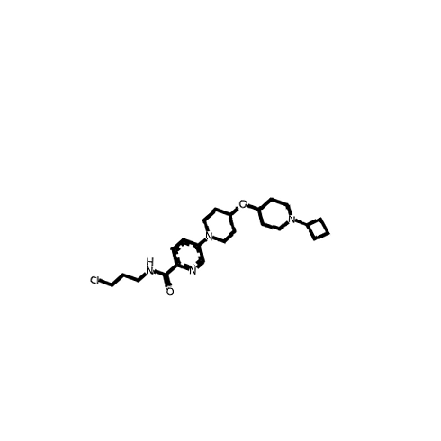 O=C(NCCCCl)c1ccc(N2CCC(OC3CCN(C4CCC4)CC3)CC2)cn1